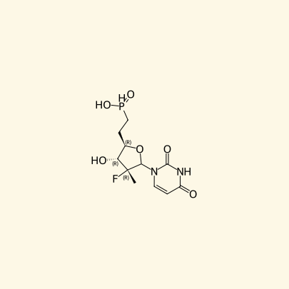 C[C@]1(F)C(n2ccc(=O)[nH]c2=O)O[C@H](CC[PH](=O)O)[C@H]1O